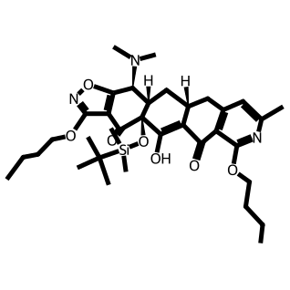 CCCCOc1nc(C)cc2c1C(=O)C1=C(O)[C@]3(O[Si](C)(C)C(C)(C)C)C(=O)c4c(OCCCC)noc4[C@@H](N(C)C)[C@@H]3C[C@@H]1C2